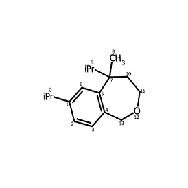 CC(C)c1ccc2c(c1)C(C)(C(C)C)CCOC2